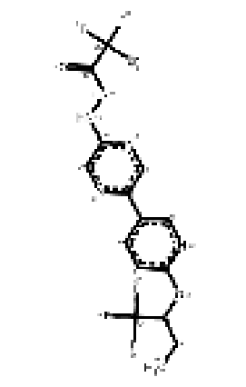 CCC(Oc1ccc(-c2cnc(NNC(=O)C(F)(F)Br)cn2)cn1)C(F)(F)F